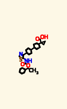 CC(OC(=O)Nc1scnc1-c1ccc(-c2ccc(C3(C(=O)O)CC3)cc2)cc1)c1ccccc1